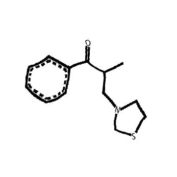 CC(CN1CCSC1)C(=O)c1ccccc1